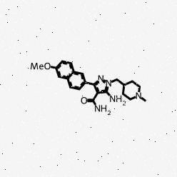 COc1ccc2cc(-c3nn(CC4CCN(C)CC4)c(N)c3C(N)=O)ccc2c1